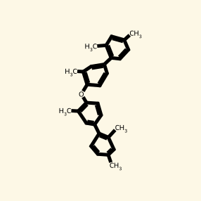 Cc1ccc(-c2ccc(Oc3ccc(-c4ccc(C)cc4C)cc3C)c(C)c2)c(C)c1